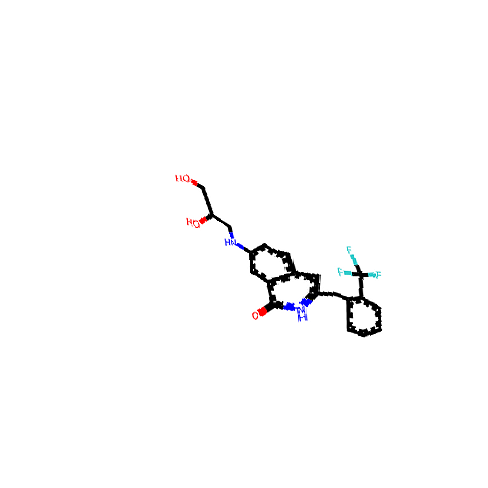 O=c1[nH]c(-c2ccccc2C(F)(F)F)cc2ccc(NCC(O)CO)cc12